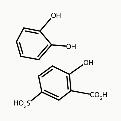 O=C(O)c1cc(S(=O)(=O)O)ccc1O.Oc1ccccc1O